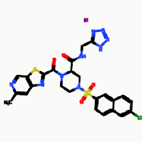 Cc1cc2nc(C(=O)N3CCN(S(=O)(=O)c4ccc5cc(Cl)ccc5c4)CC3C(=O)NCc3nnn[nH]3)sc2cn1.I